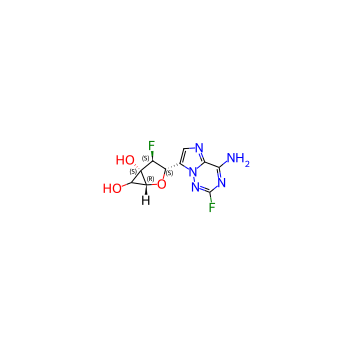 Nc1nc(F)nn2c([C@@H]3O[C@@H]4C(O)[C@@]4(O)[C@H]3F)cnc12